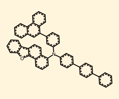 c1ccc(-c2ccc(-c3ccc(N(c4cccc(-c5cc6ccccc6c6ccccc56)c4)c4cccc5c4ccc4c6ccccc6oc54)cc3)cc2)cc1